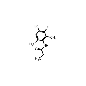 CCC(=O)Nc1c(C)cc(Br)c(F)c1C